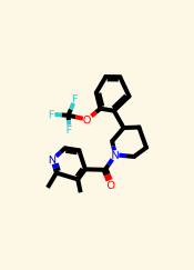 Cc1nccc(C(=O)N2CCCC(c3ccccc3OC(F)(F)F)C2)c1C